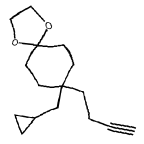 C#CCCC1(CC2CC2)CCC2(CC1)OCCO2